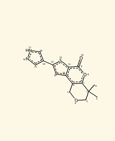 CC1(C)COCc2c1oc(=O)c1sc(-c3cn[nH]c3)cc21